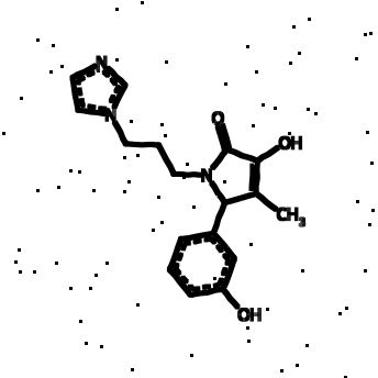 CC1=C(O)C(=O)N(CCCn2ccnc2)C1c1cccc(O)c1